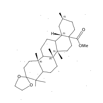 COC(=O)C12CC[C@H](C)C[C@H]1C1CCC3[C@@]4(C)CCC5(OCCO5)C(C)(C)C4CC[C@@]3(C)[C@@]1(C)CC2